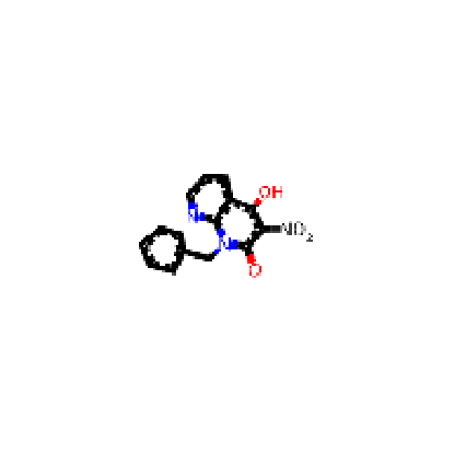 O=c1c([N+](=O)[O-])c(O)c2cccnc2n1Cc1ccccc1